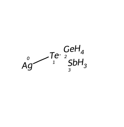 [Ag][Te].[GeH4].[SbH3]